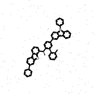 Cc1ccccc1-c1cc(-c2ccc3c(c2)c2ccccc2n3-c2ccccc2)ccc1[C@@H](C)c1cccc2c1oc1cc(-c3ccccc3)ccc12